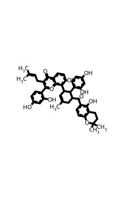 CC(C)=CCc1c(-c2ccc(O)cc2O)oc2c(C3C=C(C)CC(C(=O)c4ccc5c(c4O)CCC(C)(C)O5)C3c3ccc(O)cc3O)c(O)ccc2c1=O